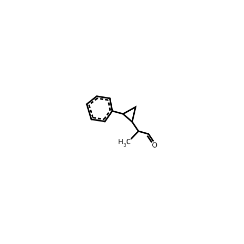 CC(C=O)C1CC1c1ccccc1